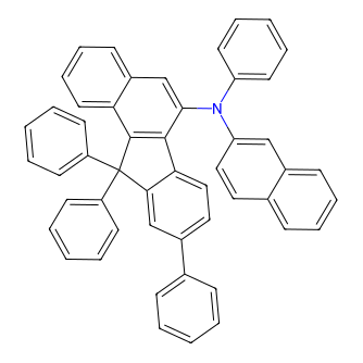 c1ccc(-c2ccc3c(c2)C(c2ccccc2)(c2ccccc2)c2c-3c(N(c3ccccc3)c3ccc4ccccc4c3)cc3ccccc23)cc1